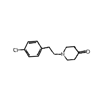 O=C1CCN(CCc2ccc(Cl)cc2)CC1